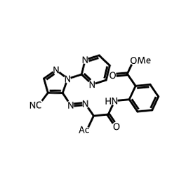 COC(=O)c1ccccc1NC(=O)C(N=Nc1c(C#N)cnn1-c1ncccn1)C(C)=O